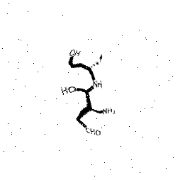 C[C@@H](CO)NC(O)[C@@H](N)CC=O